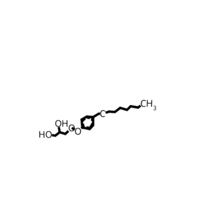 CCCCCCCCCc1ccc(OOCC(O)CO)cc1